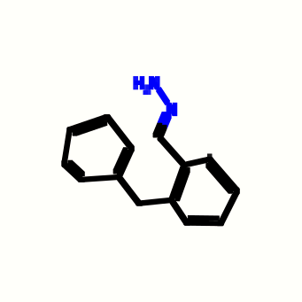 NN=Cc1[c]cccc1Cc1ccccc1